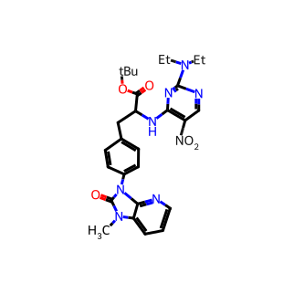 CCN(CC)c1ncc([N+](=O)[O-])c(NC(Cc2ccc(-n3c(=O)n(C)c4cccnc43)cc2)C(=O)OC(C)(C)C)n1